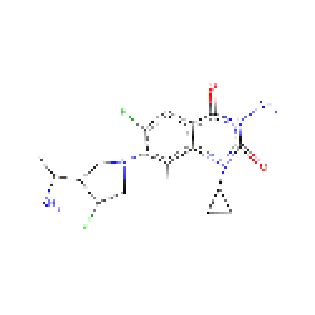 Cc1c(N2CC(F)C(C(C)N)C2)c(F)cc2c(=O)n(N)c(=O)n(C3CC3)c12